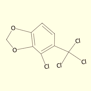 Clc1c(C(Cl)(Cl)Cl)ccc2c1OCO2